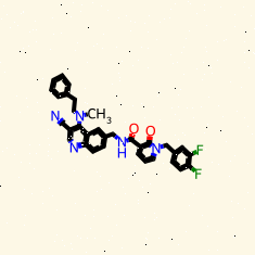 CN(CCc1ccccc1)c1c(C#N)cnc2ccc(CNC(=O)c3cccn(Cc4ccc(F)c(F)c4)c3=O)cc12